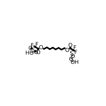 O=C(OCCCCCCCCOC(=O)C(F)(F)S(=O)(=O)O)C(F)(F)SOOO